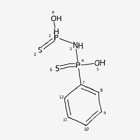 O[PH](=S)NP(O)(=S)c1ccccc1